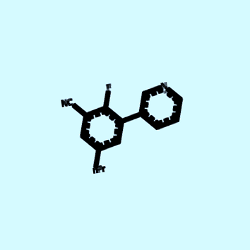 CCCc1cc(C#N)c(F)c(-c2cccnc2)c1